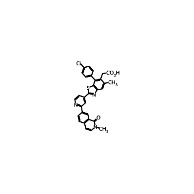 Cc1cc2nc(-c3ccnc(-c4ccc5ccn(C)c(=O)c5c4)c3)sc2c(-c2ccc(Cl)cc2)c1CC(=O)O